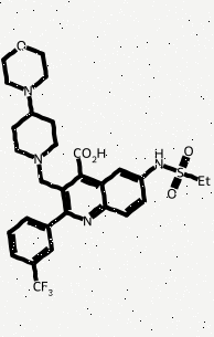 CCS(=O)(=O)Nc1ccc2nc(-c3cccc(C(F)(F)F)c3)c(CN3CCC(N4CCOCC4)CC3)c(C(=O)O)c2c1